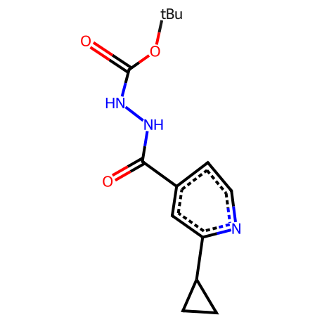 CC(C)(C)OC(=O)NNC(=O)c1ccnc(C2CC2)c1